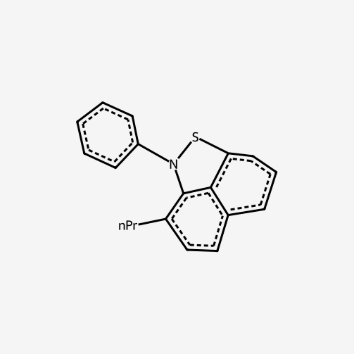 CCCc1ccc2cccc3c2c1N(c1ccccc1)S3